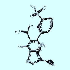 CC(C)c1c(-c2cccc(S(C)(=O)=O)c2)[nH]c2c(C#N)cnn2c1=O